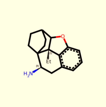 CC[C@]12c3c4cccc3OC1C1CCC2(CC1)[C@H](N)C4